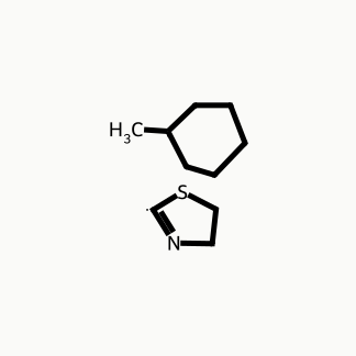 C[C]1CCCCC1.[C]1=NCCS1